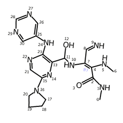 CNC(=O)/C(NC)=C(/C=N)NC(O)c1nc(N2CCCC2)cnc1Nc1cncnc1